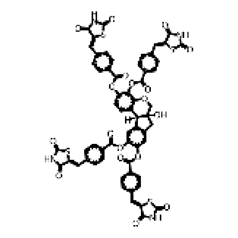 O=C1NC(=O)/C(=C/c2ccc(C(=O)Oc3cc4c(cc3OC(=O)c3ccc(/C=C5\SC(=O)NC5=O)cc3)[C@@H]3c5ccc(OC(=O)c6ccc(/C=C7\SC(=O)NC7=O)cc6)c(OC(=O)c6ccc(/C=C7\SC(=O)NC7=O)cc6)c5OC[C@]3(O)C4)cc2)S1